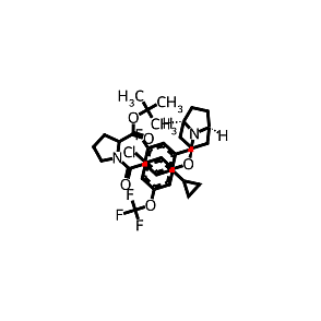 CC(C)(C)OC(=O)C1CCCN1C(=O)c1cc(C2CC2)c(CN2[C@@H]3CC[C@H]2C[C@@H](Oc2cc(Cl)cc(OC(F)(F)F)c2)C3)cc1F